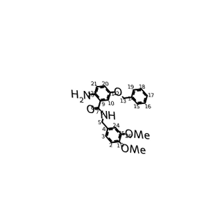 COc1ccc(CNC(=O)c2cc(OCc3ccccc3)ccc2N)cc1OC